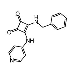 O=c1c(NCc2ccccc2)c(Nc2ccncc2)c1=O